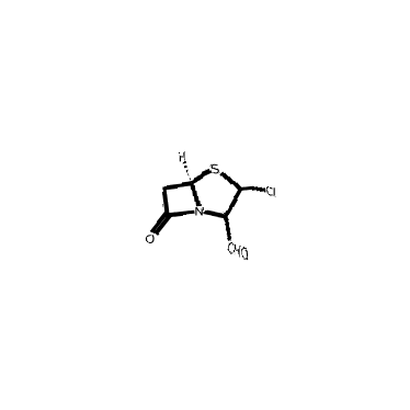 O=CC1C(Cl)S[C@@H]2CC(=O)N12